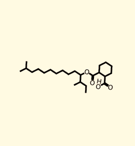 CCC(C)C(CCCCCCCCC(C)C)OC(=O)C1CCCCC1C(=O)O